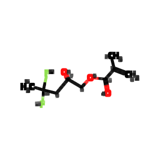 C=C(C)C(=O)OCC(=O)CC(C)(F)F